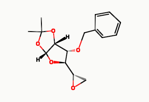 CC1(C)O[C@H]2O[C@H]([C@@H]3CO3)[C@@H](OCc3ccccc3)[C@H]2O1